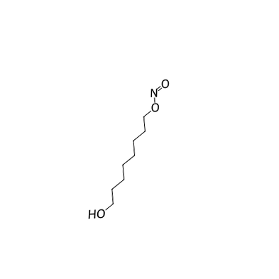 O=NOCCCCCCCCO